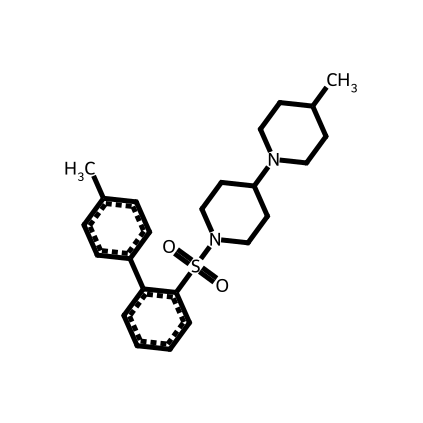 Cc1ccc(-c2ccccc2S(=O)(=O)N2CCC(N3CCC(C)CC3)CC2)cc1